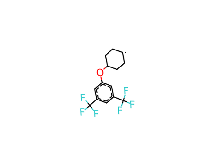 FC(F)(F)c1cc(OC2CC[CH]CC2)cc(C(F)(F)F)c1